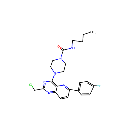 CCCCNC(=O)N1CCN(c2nc(CCl)nc3ccc(-c4ccc(F)cc4)nc23)CC1